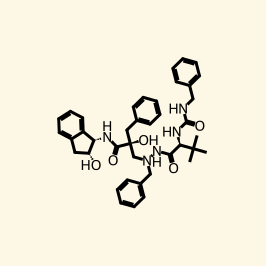 CC(C)(C)[C@H](NC(=O)NCc1ccccc1)C(=O)NN(Cc1ccccc1)C[C@@](O)(Cc1ccccc1)C(=O)N[C@H]1c2ccccc2C[C@H]1O